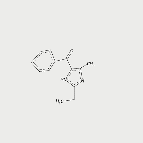 CCc1nc(C)c(C(=O)c2ccccc2)[nH]1